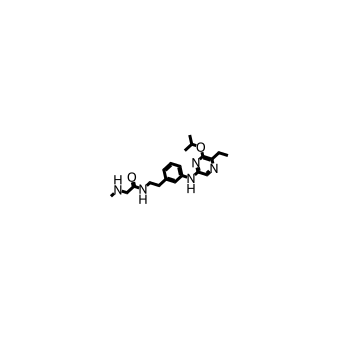 CCc1ncc(Nc2cccc(CCNC(=O)CNC)c2)nc1OC(C)C